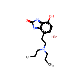 Br.CCCN(CCC)CCc1ccc(O)c2c1=NC(=O)N=2